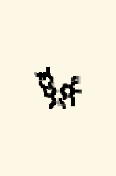 C=C1C2=C(c3cc(Cl)c(C)c(F)c3N1C)N1CC(C)N(C)CC1C2